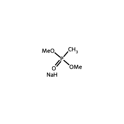 COP(C)(=O)OC.[NaH]